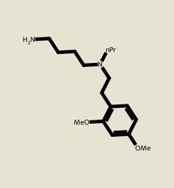 CCCN(CCCCN)CCc1ccc(OC)cc1OC